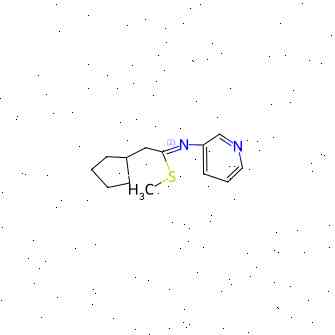 CS/C(CC1CCCC1)=N\c1cccnc1